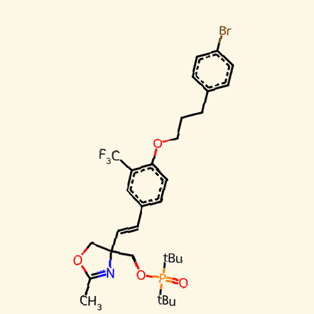 CC1=NC(C=Cc2ccc(OCCCc3ccc(Br)cc3)c(C(F)(F)F)c2)(COP(=O)(C(C)(C)C)C(C)(C)C)CO1